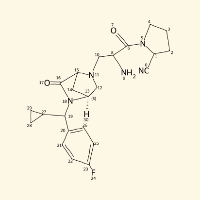 N#CC1CCCN1C(=O)C(N)CN1C[C@@H]2CC1C(=O)N2C(c1ccc(F)cc1)C1CC1